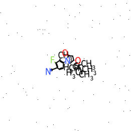 Cc1c(N2C(=O)C[C@H](O[Si](C)(C)C(C)(C)C)[C@@H]2C)ccc(C#N)c1F